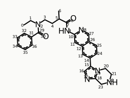 CCN(CCC(C)C(=O)Nc1cc2cc(-c3cnc4n3CCNC4)ccc2cn1)C(=O)c1ccccc1